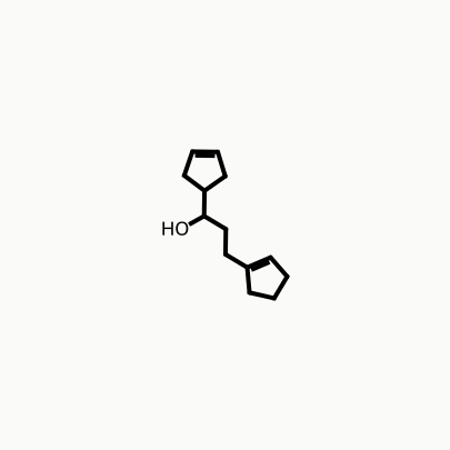 OC(CCC1=CCCC1)C1CC=CC1